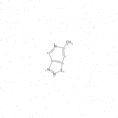 Cc1cc2snnc2cn1